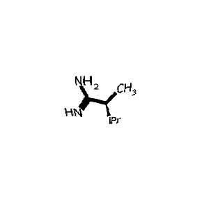 CC(C)[C@H](C)C(=N)N